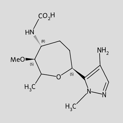 CO[C@@H]1C(C)O[C@H](c2c(N)cnn2C)CC[C@H]1NC(=O)O